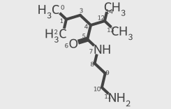 CC(C)CC(C(=O)NCCCN)C(C)C